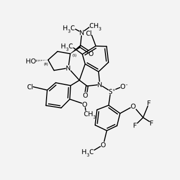 COc1ccc([S+]([O-])N2C(=O)C(c3cc(Cl)ccc3OC)(N3C[C@H](O)C[C@H]3C(=O)N(C)C)c3c2ccc(Cl)c3C)c(OC(F)(F)F)c1